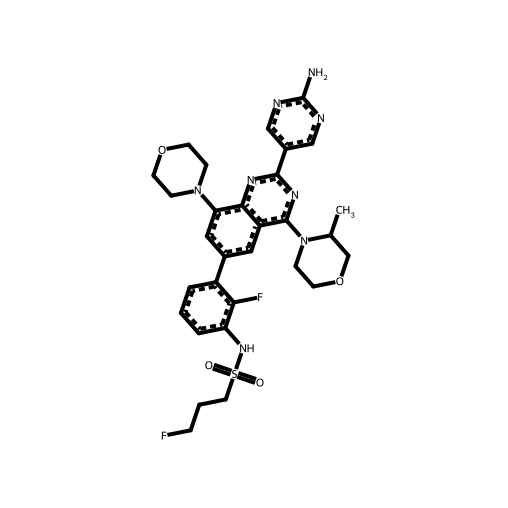 CC1COCCN1c1nc(-c2cnc(N)nc2)nc2c(N3CCOCC3)cc(-c3cccc(NS(=O)(=O)CCCF)c3F)cc12